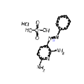 Cl.Nc1ccc(/N=N/c2ccccc2)c(N)n1.[O]=[Cr](=[O])([OH])[OH]